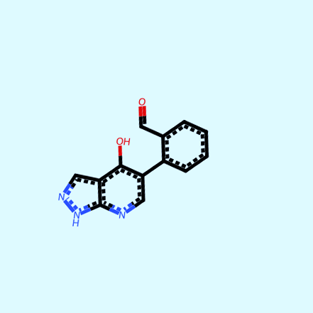 O=Cc1ccccc1-c1cnc2[nH]ncc2c1O